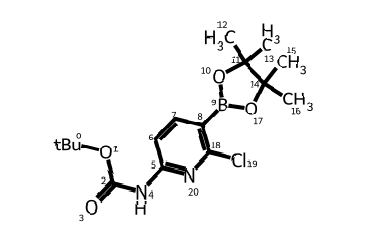 CC(C)(C)OC(=O)Nc1ccc(B2OC(C)(C)C(C)(C)O2)c(Cl)n1